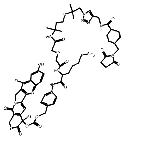 CCc1c2c(nc3ccc(O)cc13)-c1cc3c(c(=O)n1C2)COC(=O)C3(CC)OC(=O)OCc1ccc(NC(=O)C(CCCCN)NC(=O)COCC(=O)NC(C)(C)CCOC(C)(C)Cn2cc(CNC(=O)C3CCC(CN4C(=O)CCC4=O)CC3)nn2)cc1